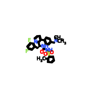 Cc1ccccc1S(=O)(=O)NC(=O)N[C@@H](Cc1cc(F)cc(F)c1)c1ncccc1-c1ccc(CN(C)C)cc1